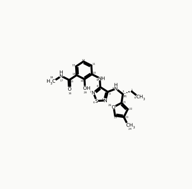 CC[C@@H](Nc1nsnc1Nc1cccc(C(=O)NC)c1O)c1cc(C)co1